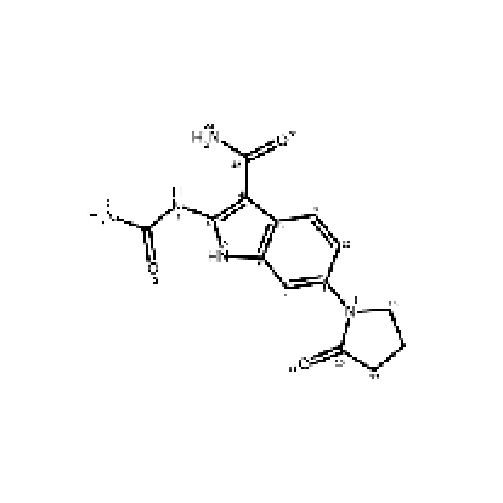 NC(=O)Nc1[nH]c2cc(N3CCCC3=O)ccc2c1C(N)=O